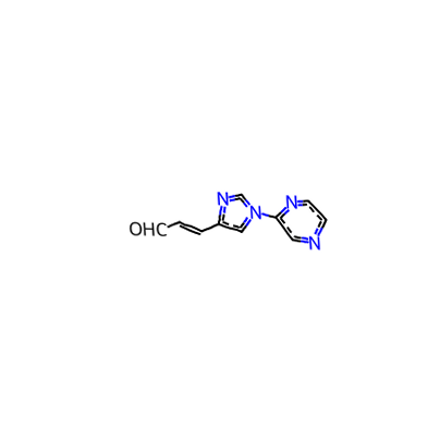 O=CC=Cc1cn(-c2cnccn2)cn1